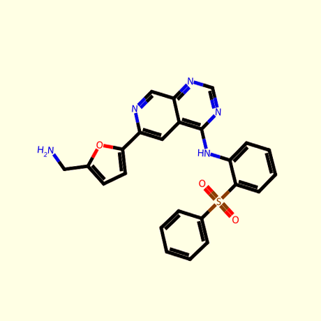 NCc1ccc(-c2cc3c(Nc4ccccc4S(=O)(=O)c4ccccc4)ncnc3cn2)o1